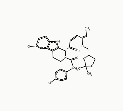 C=C(/C=C\C(=C/C)OC[C@@H]1COC(C)(C)O1)[C@H]1c2[nH]c3ccc(Cl)cc3c2CCN1C(=O)Oc1ccc(Cl)cc1